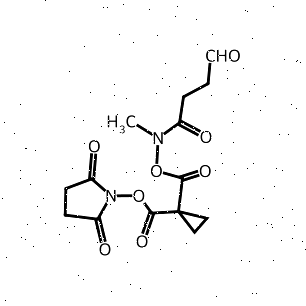 CN(OC(=O)C1(C(=O)ON2C(=O)CCC2=O)CC1)C(=O)CCC=O